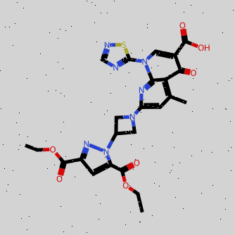 CCOC(=O)c1cc(C(=O)OCC)n(C2CN(c3cc(C)c4c(=O)c(C(=O)O)cn(-c5ncns5)c4n3)C2)n1